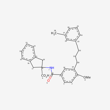 COc1ccc(C(=O)NC2(C(=O)O)Cc3ccccc3C2)cc1CCCc1cccc(C)c1